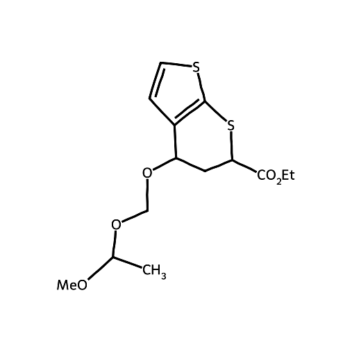 CCOC(=O)C1CC(OCOC(C)OC)c2ccsc2S1